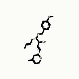 C/C=C/C[C@H](OCc1ccc(OC)cc1)C(O)/C=C/[C@@H]1CC(C)=CCO1